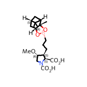 CO[C@H]1CN(C(=O)O)[C@H](C(=O)O)[C@@H]1CCCB1O[C@@H]2C[C@@H]3C[C@@H](C3(C)C)[C@]2(C)O1